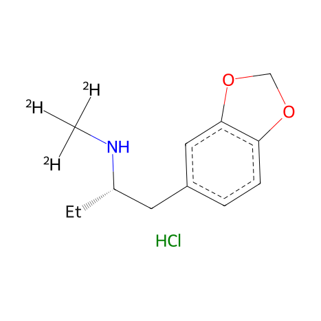 Cl.[2H]C([2H])([2H])N[C@@H](CC)Cc1ccc2c(c1)OCO2